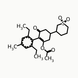 CCc1cc(C)cc(CC)c1C1=C(OC(C)=O)CC(C2CCCS(=O)(=O)C2)CC1=O